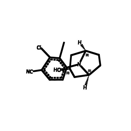 Cc1c(N2[C@@H]3CC[C@H]2C[C@@H](O)C3)ccc(C#N)c1Cl